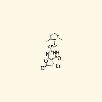 CCc1cc(=O)oc2nc(O[C@H](C)c3c(C)cccc3C)[nH]c(=O)c12